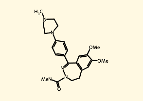 CNC(=O)N1CCc2cc(OC)c(OC)cc2C(c2ccc(N3CCN(C)CC3)cc2)=N1